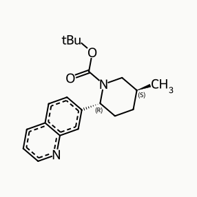 C[C@H]1CC[C@H](c2ccc3cccnc3c2)N(C(=O)OC(C)(C)C)C1